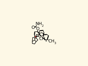 Cc1ccc(Cc2c(OC(N)=O)ccc(C3C4CCC3CN(Cc3ccccc3)C4)c2C)cc1